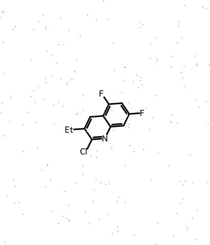 CCc1cc2c(F)cc(F)cc2nc1Cl